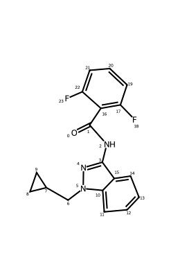 O=C(Nc1nn(CC2CC2)c2ccccc12)c1c(F)cccc1F